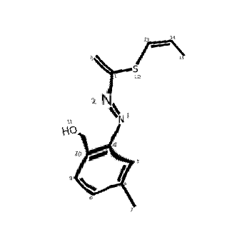 C=C(/N=N/c1cc(C)ccc1O)S/C=C\C